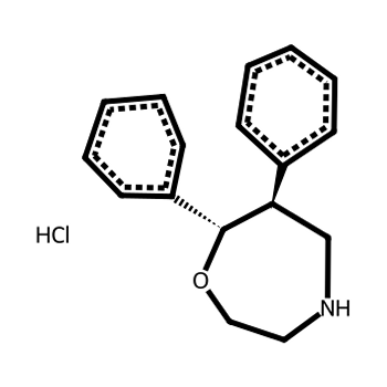 Cl.c1ccc([C@H]2CNCCO[C@@H]2c2ccccc2)cc1